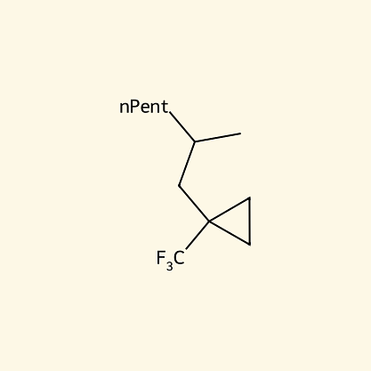 CCCCCC(C)CC1(C(F)(F)F)CC1